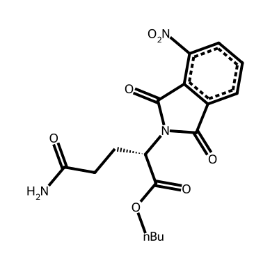 CCCCOC(=O)[C@H](CCC(N)=O)N1C(=O)c2cccc([N+](=O)[O-])c2C1=O